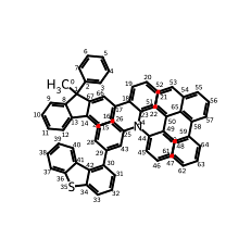 CC1(c2ccccc2)c2ccccc2-c2ccc(-c3ccccc3N(c3cccc(-c4cccc5sc6ccccc6c45)c3)c3ccccc3-c3cccc4cccc(-c5ccccc5)c34)cc21